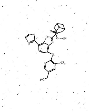 CC(C)(C)OC(=O)N1C2CC1CN(c1nc3c(Oc4ncc(CO)cc4C(F)(F)F)ccc(-c4nccs4)c3o1)C2